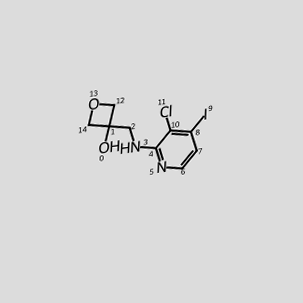 OC1(CNc2nccc(I)c2Cl)COC1